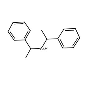 CC([AsH]C(C)c1ccccc1)c1ccccc1